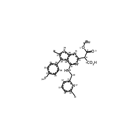 CCC(C)OC(=O)C(C(=O)O)c1nc(NCc2cccc(C)n2)c2c(-c3ccc(F)cc3)c(C)sc2n1